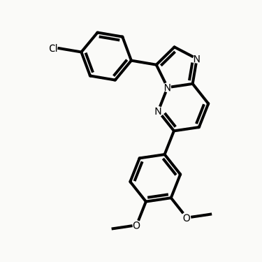 COc1ccc(-c2ccc3ncc(-c4ccc(Cl)cc4)n3n2)cc1OC